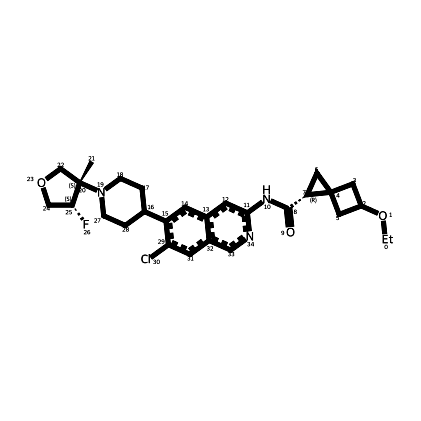 CCOC1CC2(C1)C[C@H]2C(=O)Nc1cc2cc(C3CCN([C@@]4(C)COC[C@H]4F)CC3)c(Cl)cc2cn1